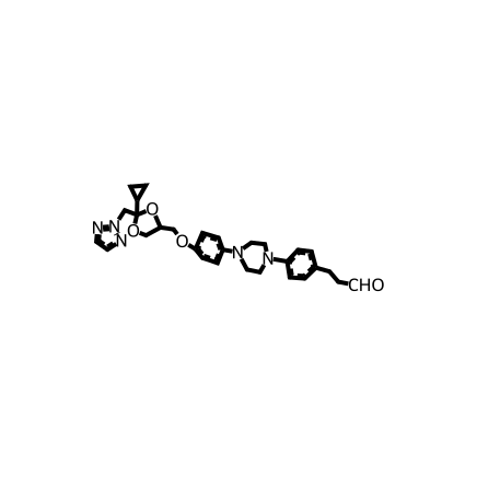 O=CCCc1ccc(N2CCN(c3ccc(OCC4COC(Cn5nccn5)(C5CC5)O4)cc3)CC2)cc1